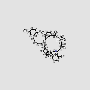 CO[C@@]1(c2cccc(F)n2)/C=C/C[C@H](C)[C@@H](C)S(=O)(=O)NC(=O)c2ccc3c(c2)N(CCCCc2cc(Cl)ccc2CO3)C[C@@H]2CC[C@H]21